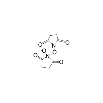 [O][N+]1(ON2C(=O)CCC2=O)C(=O)CCC1=O